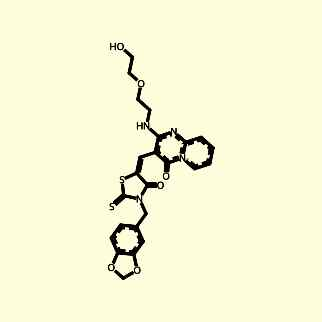 O=C1/C(=C\c2c(NCCOCCO)nc3ccccn3c2=O)SC(=S)N1Cc1ccc2c(c1)OCO2